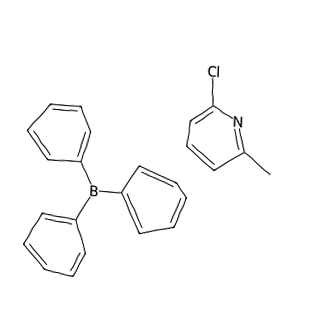 Cc1cccc(Cl)n1.c1ccc(B(c2ccccc2)c2ccccc2)cc1